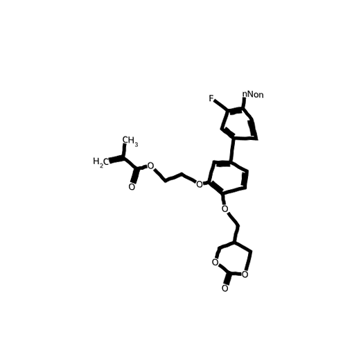 C=C(C)C(=O)OCCOc1cc(-c2ccc(CCCCCCCCC)c(F)c2)ccc1OCC1COC(=O)OC1